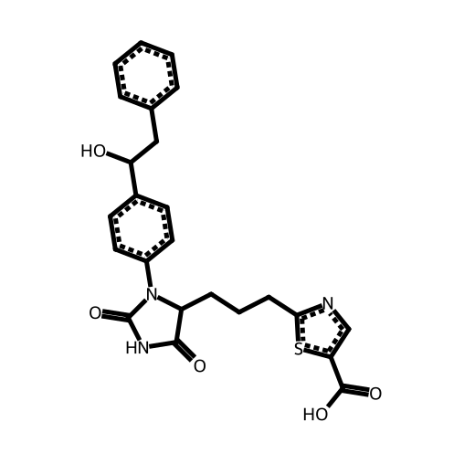 O=C(O)c1cnc(CCCC2C(=O)NC(=O)N2c2ccc(C(O)Cc3ccccc3)cc2)s1